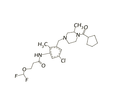 Cc1c(CN2CCN(C(=O)C3CCCC3)C(C)C2)cc(Cl)cc1NC(=O)CCOC(F)F